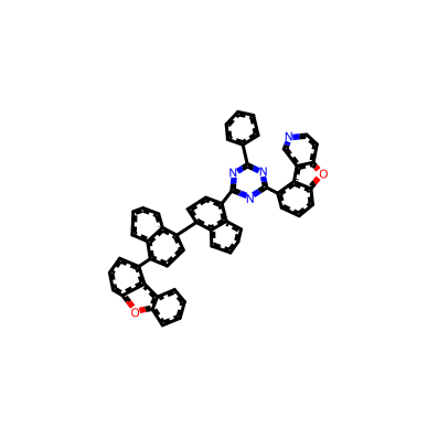 c1ccc(-c2nc(-c3ccc(-c4ccc(-c5cccc6oc7ccccc7c56)c5ccccc45)c4ccccc34)nc(-c3cccc4oc5ccncc5c34)n2)cc1